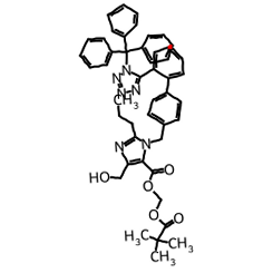 CCCc1nc(CO)c(C(=O)OCOC(=O)C(C)(C)C)n1Cc1ccc(-c2ccccc2-c2nnnn2C(c2ccccc2)(c2ccccc2)c2ccccc2)cc1